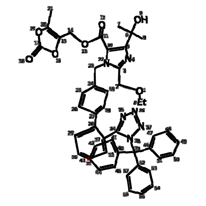 CCOCc1nc(C(C)(C)O)c(C(=O)OCc2oc(=O)oc2C)n1Cc1ccc(-c2ccccc2-c2nnnn2C(c2ccccc2)(c2ccccc2)c2ccccc2)cc1